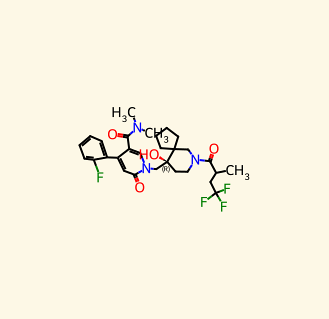 CC(CC(F)(F)F)C(=O)N1CC[C@](O)(Cn2cc(C(=O)N(C)C)c(-c3ccccc3F)cc2=O)C2(CCCC2)C1